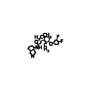 CC1=C(C=CC(=O)Nc2cccc3cnccc23)C(C)(C)CCC1Oc1ccc(F)c(F)c1